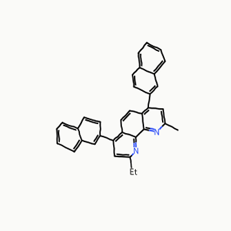 CCc1cc(-c2ccc3ccccc3c2)c2ccc3c(-c4ccc5ccccc5c4)cc(C)nc3c2n1